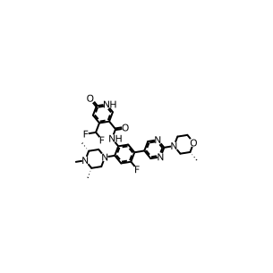 C[C@@H]1CN(c2ncc(-c3cc(NC(=O)c4c[nH]c(=O)cc4C(F)F)c(N4C[C@@H](C)N(C)[C@@H](C)C4)cc3F)cn2)CCO1